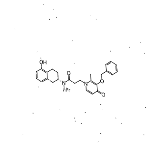 CCCN(C(=O)CCn1ccc(=O)c(OCc2ccccc2)c1C)[C@H]1CCc2c(O)cccc2C1